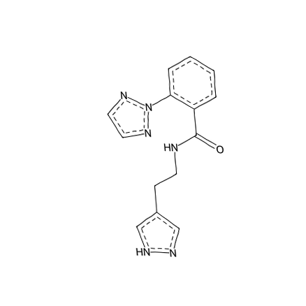 O=C(NCCc1cn[nH]c1)c1ccccc1-n1nccn1